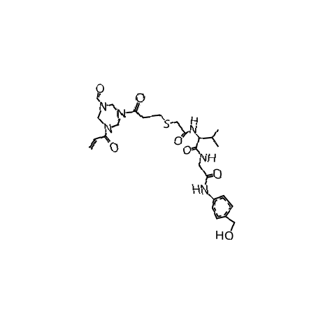 C=CC(=O)N1CN(C=O)CN(C(=O)CCSCC(=O)NC(C(=O)NCC(=O)Nc2ccc(CO)cc2)C(C)C)C1